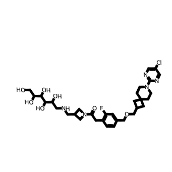 O=C(Cc1ccc(COCC2CC3(CCN(c4ncc(Cl)cn4)CC3)C2)cc1F)N1CC(CNCC(O)C(O)C(O)C(O)CO)C1